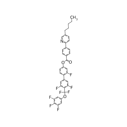 CCCCCc1ccc(-c2ccc(C(=O)Oc3ccc(-c4cc(F)c(C(F)(F)Oc5cc(F)c(F)c(F)c5)c(F)c4)c(F)c3)cc2)nc1